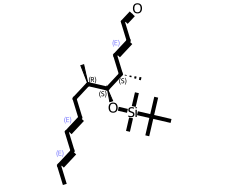 C/C=C/C=C/C[C@@H](C)[C@H](O[Si](C)(C)C(C)(C)C)[C@@H](C)/C=C/C=O